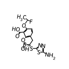 CC(F)Oc1ccc2c(c1C(=O)O)OB(O)[C@@H](Sc1nnc(N)s1)C2